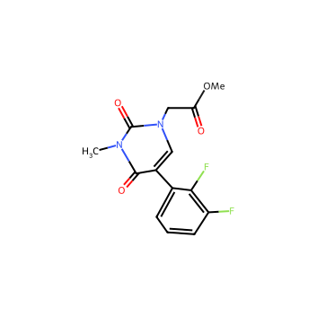 COC(=O)Cn1cc(-c2cccc(F)c2F)c(=O)n(C)c1=O